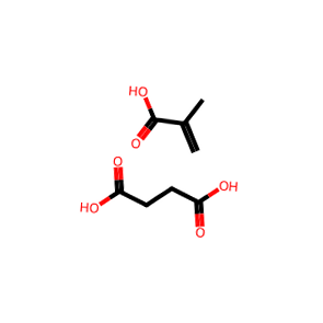 C=C(C)C(=O)O.O=C(O)CCC(=O)O